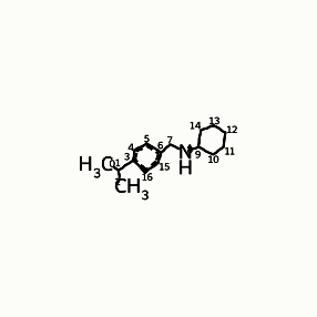 CC(C)c1ccc(CNC2CCCCC2)cc1